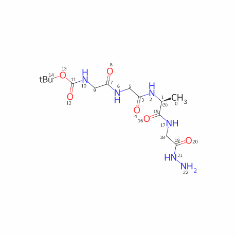 C[C@H](NC(=O)CNC(=O)CNC(=O)OC(C)(C)C)C(=O)NCC(=O)NN